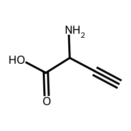 C#CC(N)C(=O)O